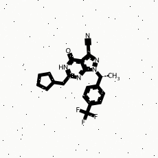 C[C@H](c1ccc(C(F)(F)F)cc1)n1nc(C#N)c2c(=O)[nH]c(CC3CCCC3)nc21